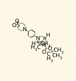 CC(C)(C)OC(=O)N1C[C@@H]2CN(c3ccc(N4CCS(=O)(=O)CC4)cc3)[C@H](C1)C(C)(C)C2